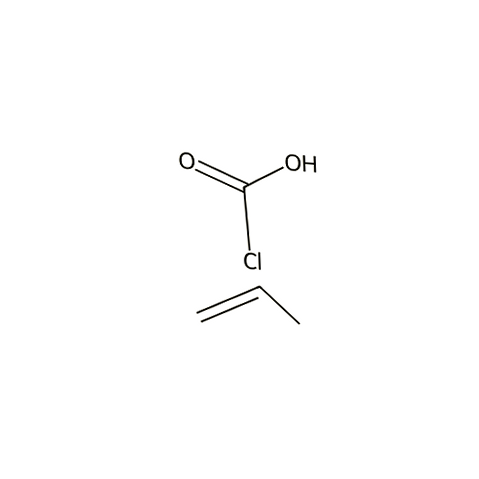 C=CC.O=C(O)Cl